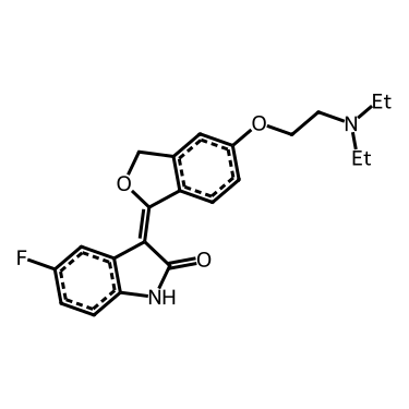 CCN(CC)CCOc1ccc2c(c1)COC2=C1C(=O)Nc2ccc(F)cc21